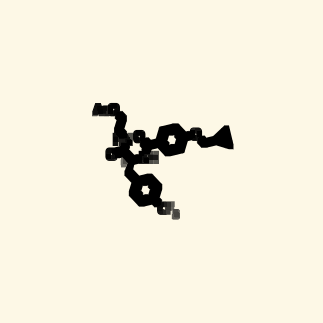 CC(=O)OCCNC(=O)[C@H](Cc1ccc(C(F)(F)F)cc1)NC(=O)c1ccc(OCC2CC2)cc1